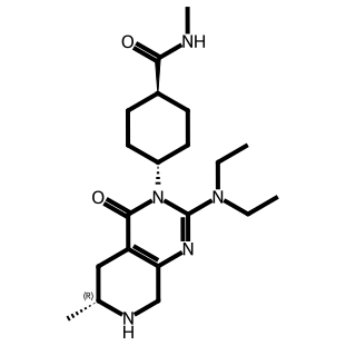 CCN(CC)c1nc2c(c(=O)n1[C@H]1CC[C@H](C(=O)NC)CC1)C[C@@H](C)NC2